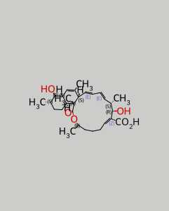 CC1=C[C@H]2[C@H](O)[C@@H](C)CC[C@@H]2[C@@]2(C)C(=O)O[C@H](C)CCC/C=C(\C(=O)O)[C@H](O)[C@@H](C)/C=C/C=C/[C@@H]12